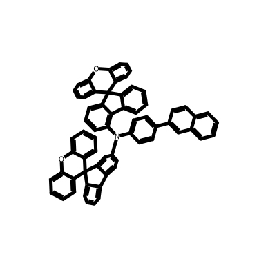 c1ccc2c(c1)Oc1ccccc1C21c2ccccc2-c2ccc(N(c3ccc(-c4ccc5ccccc5c4)cc3)c3cccc4c3-c3ccccc3C43c4ccccc4Oc4ccccc43)cc21